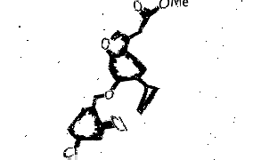 COC(=O)Cc1coc2cc(OCc3ccc(Cl)cc3Cl)c(C3CC3)cc12